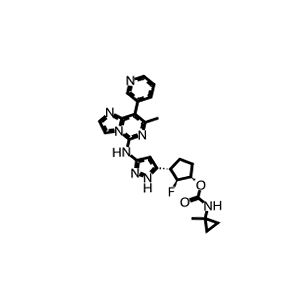 Cc1nc(Nc2cc([C@@H]3CC[C@H](OC(=O)NC4(C)CC4)[C@H]3F)[nH]n2)n2ccnc2c1-c1cccnc1